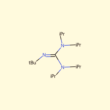 CC(C)N(C(=NC(C)(C)C)N(C(C)C)C(C)C)C(C)C